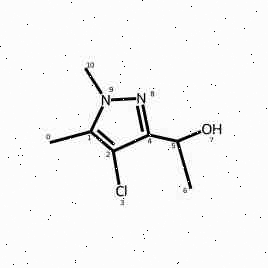 Cc1c(Cl)c(C(C)O)nn1C